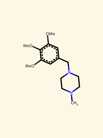 COc1cc(CN2CCN(C)CC2)cc(OC)c1OC